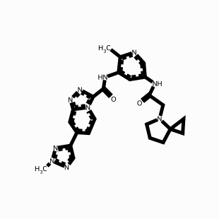 Cc1ncc(NC(=O)CN2CCCC23CC3)cc1NC(=O)c1nnc2cc(-c3cnn(C)n3)ccn12